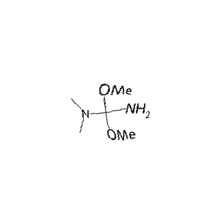 COC(N)(OC)N(C)C